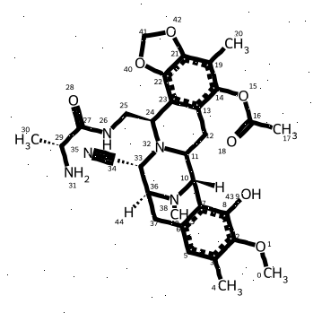 COc1c(C)cc2c(c1O)[C@H]1C3Cc4c(OC(C)=O)c(C)c5c(c4[C@H](CNC(=O)[C@@H](C)N)N3[C@@H](C#N)[C@H](C2)N1C)OCO5